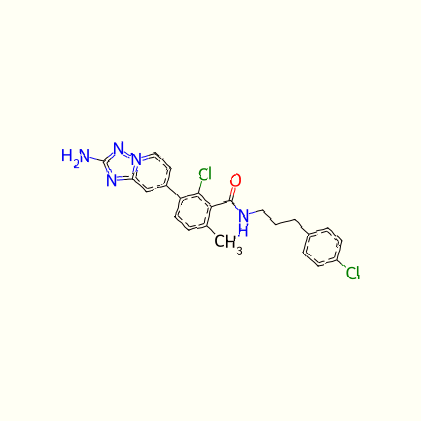 Cc1ccc(-c2ccn3nc(N)nc3c2)c(Cl)c1C(=O)NCCCc1ccc(Cl)cc1